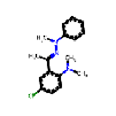 C/C(=N\N(C)c1ccccc1)c1cc(Cl)ccc1N(C)C